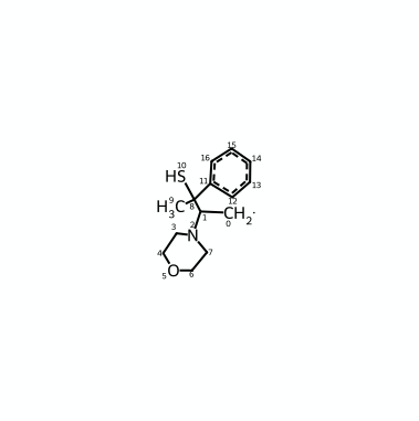 [CH2]C(N1CCOCC1)C(C)(S)c1ccccc1